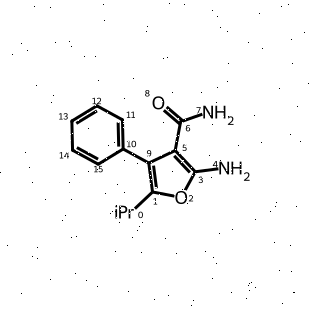 CC(C)c1oc(N)c(C(N)=O)c1-c1ccccc1